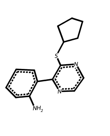 Nc1ccccc1-c1nccnc1SC1CCCC1